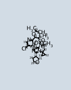 COCC1(n2c(NS(=O)(=O)C(C)C(OC(C)C)c3ncc(Cl)cn3)nnc2[C@H]2CCOC2)CC1